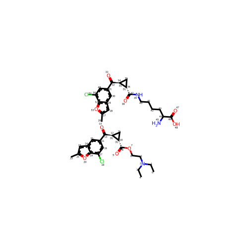 CCN(CC)CCOC(=O)[C@H]1C[C@@H]1C(=O)c1cc(Cl)c2oc(C)cc2c1.Cc1cc2cc(C(=O)[C@H]3C[C@@H]3C(=O)NCCCCC(N)C(=O)O)cc(Cl)c2o1